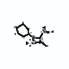 CCCNC1N(C)[SiH2]N1C1CCCCC1